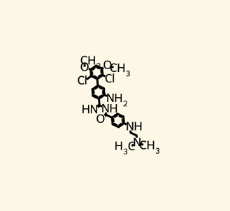 COc1cc(OC)c(Cl)c(-c2ccc(C(=N)NC(=O)c3ccc(NCCN(C)C)cc3)c(N)c2)c1Cl